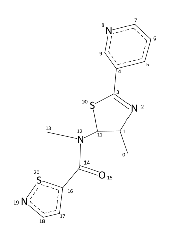 CC1N=C(c2cccnc2)SC1N(C)C(=O)c1ccns1